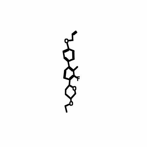 C=CCOc1ccc(-c2ccc(C3CCC(OCC)CO3)c(F)c2C)cc1